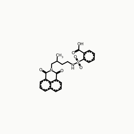 CC(CCNS(=O)(=O)c1ccccc1C(=O)O)CN1C(=O)c2cccc3cccc(c23)C1=O